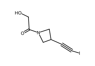 O=C(CO)N1CC(C#CI)C1